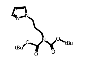 CC(C)(C)OC(=O)N(CCCn1cccn1)C(=O)OC(C)(C)C